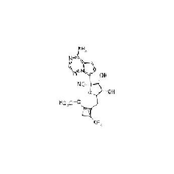 N#C[C@@]1(c2ccc3c(N)ncnn23)O[C@H](CC2C3(OC(=O)O)CC2(C(F)(F)F)C3)[C@@H](O)[C@H]1O